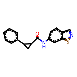 O=C(Nc1ccc2cnsc2c1)C1CC1c1ccccc1